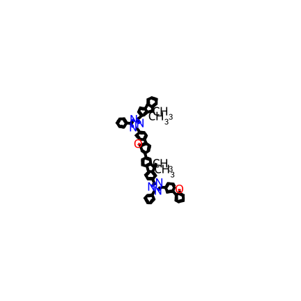 CC1(C)c2ccccc2-c2ccc(-c3nc(-c4ccccc4)nc(-c4ccc5c(c4)oc4cc(-c6ccc7c(c6)C(C)(C)c6cc(-c8nc(-c9ccccc9)nc(-c9ccc%10oc%11ccccc%11c%10c9)n8)ccc6-7)ccc45)n3)cc21